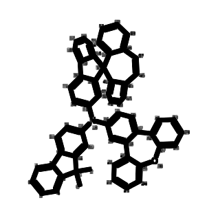 CC1(C)c2ccccc2-c2ccc(N(c3ccc4c(c3)-c3ccccc3Oc3ccccc3-4)c3ccc4c(c3)C3(c5ccccc5C=Cc5ccccc53)c3ccccc3-4)cc21